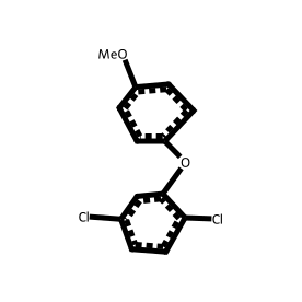 COc1ccc(Oc2cc(Cl)ccc2Cl)cc1